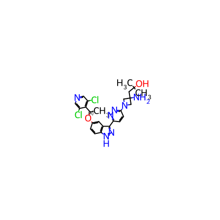 C[C@@H](Oc1ccc2[nH]nc(-c3ccc(N4CC(N)(CC(C)(C)O)C4)nn3)c2c1)c1c(Cl)cncc1Cl